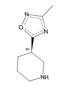 Cc1noc([C@@H]2CCCNC2)n1